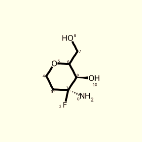 N[C@]1(F)[C]COC(CO)[C@H]1O